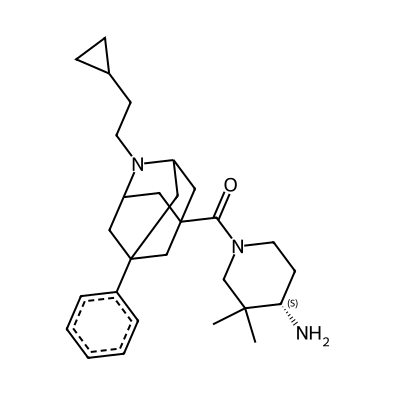 CC1(C)CN(C(=O)C23CC4CC(c5ccccc5)(CC(C2)N4CCC2CC2)C3)CC[C@@H]1N